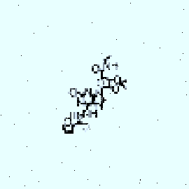 CCNC(=O)C1OC(n2cnc3c(NNC(=O)c4ccco4)nc(Cl)nc32)C2OC(C)(C)OC12